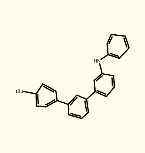 CC(C)(C)c1ccc(-c2cccc(-c3cccc(Nc4ccccc4)c3)c2)cc1